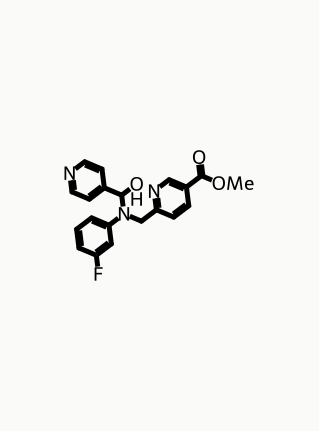 COC(=O)c1ccc(CN(c2cccc(F)c2)C(O)c2ccncc2)nc1